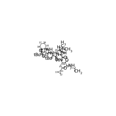 C=CCNC(=O)C(=O)C(CCC1CC1)NC(=O)[C@@H]1[C@@H]2[C@H](CN1C(=O)C(NC(=O)NC1(CS(=O)(=O)C(C)(C)C)CCCCC1)C(C)(C)C)C2(C)C